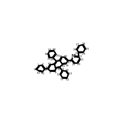 c1ccc(-c2ccc3c(-c4ccccc4)c4cc(-c5cccc(-c6ccccc6)n5)ccc4c(-c4ccccc4)c3c2)cc1